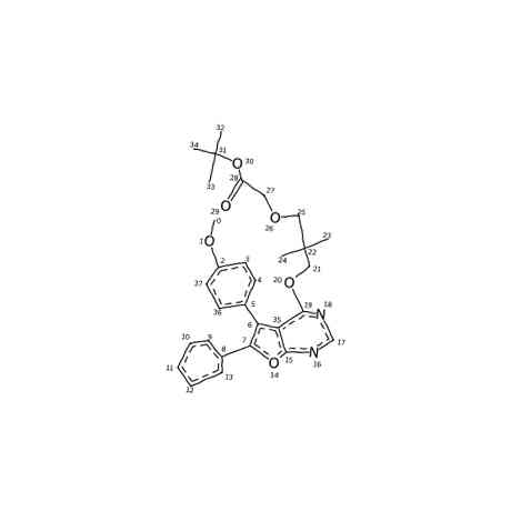 COc1ccc(-c2c(-c3ccccc3)oc3ncnc(OCC(C)(C)COCC(=O)OC(C)(C)C)c23)cc1